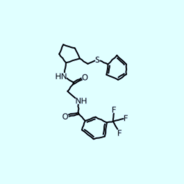 O=C(CNC(=O)c1cccc(C(F)(F)F)c1)NC1CCCC1CSc1ccccc1